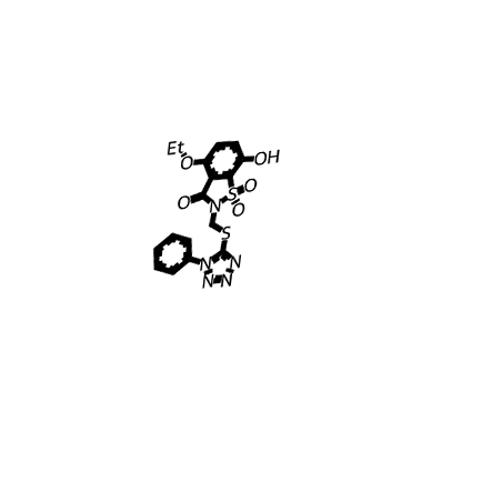 CCOc1ccc(O)c2c1C(=O)N(CSc1nnnn1-c1ccccc1)S2(=O)=O